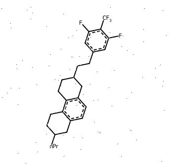 CCCC1CCc2c(ccc3c2CCC(CCc2cc(F)c(C(F)(F)F)c(F)c2)C3)C1